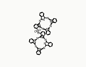 O=S(=O)(Oc1cccc2c3nc4nc(nc5[nH]c(nc6nc(nc([nH]3)c12)-c1ccccc1-6)c1ccccc51)-c1ccccc1-4)c1cccc2c3nc4nc(nc5[nH]c(nc6nc(nc([nH]3)c12)-c1ccccc1-6)c1ccccc51)-c1ccccc1-4